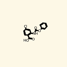 O=C(Nc1cc(Cl)ccc1C(=O)O)Oc1ccccc1